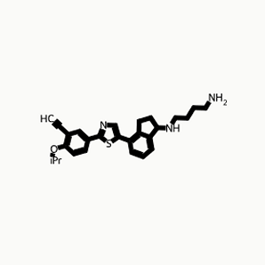 C#Cc1cc(-c2ncc(-c3cccc4c3CCC4NCCCCN)s2)ccc1OC(C)C